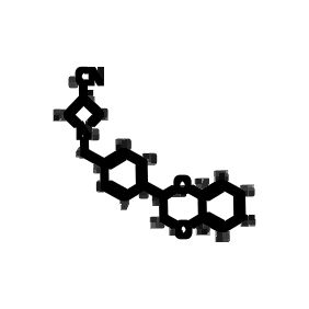 N#CC1CN(Cc2ccc(C3COc4ccccc4O3)cc2)C1